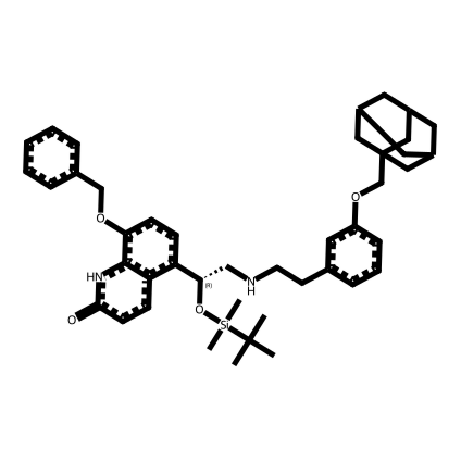 CC(C)(C)[Si](C)(C)O[C@@H](CNCCc1cccc(OCC23CC4CC(CC(C4)C2)C3)c1)c1ccc(OCc2ccccc2)c2[nH]c(=O)ccc12